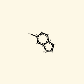 Ic1ccc2ccoc2c1